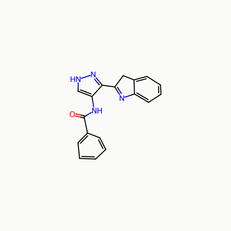 O=C(Nc1c[nH]nc1C1=Nc2ccccc2C1)c1ccccc1